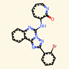 O=c1nccccc1Nc1nc2ccccc2c2nc(-c3ccccc3Br)nn12